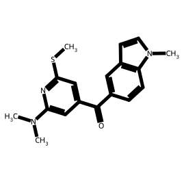 CSc1cc(C(=O)c2ccc3c(ccn3C)c2)cc(N(C)C)n1